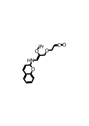 CC(C)OC(=CNC1C=Cc2ccccc2O1)COCC=C=O